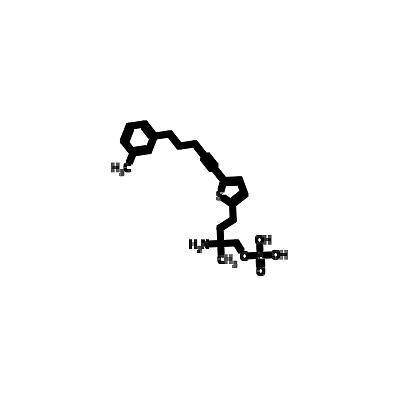 Cc1cccc(CCCC#Cc2ccc(CCC(C)(N)COP(=O)(O)O)s2)c1